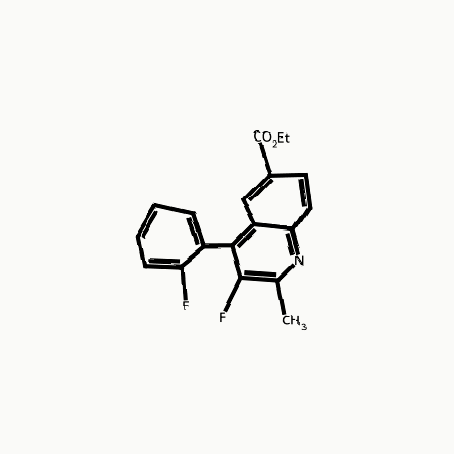 CCOC(=O)c1ccc2nc(C)c(F)c(-c3ccccc3F)c2c1